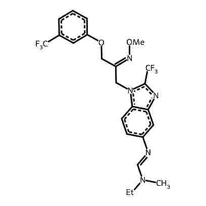 CCN(C)C=Nc1ccc2c(c1)nc(C(F)(F)F)n2CC(COc1cccc(C(F)(F)F)c1)=NOC